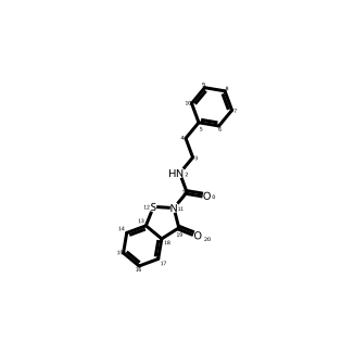 O=C(NCCc1ccccc1)n1sc2ccccc2c1=O